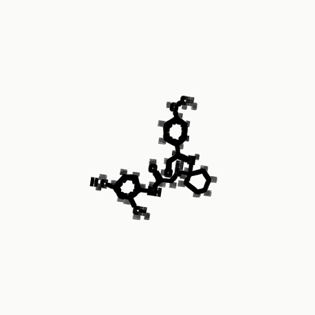 COc1ccc(/C(C=O)=N/C2(NCC(=O)Nc3ccc(C)cc3C)CCCCC2)cc1